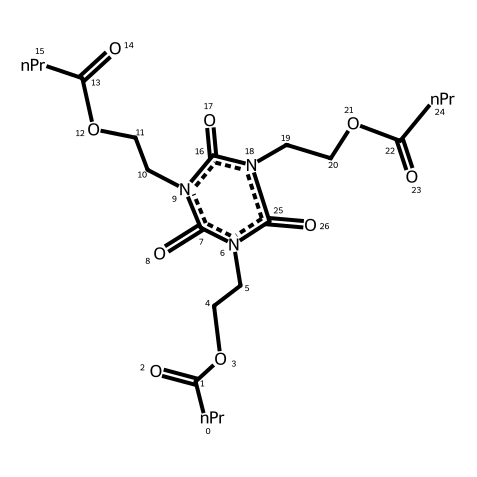 CCCC(=O)OCCn1c(=O)n(CCOC(=O)CCC)c(=O)n(CCOC(=O)CCC)c1=O